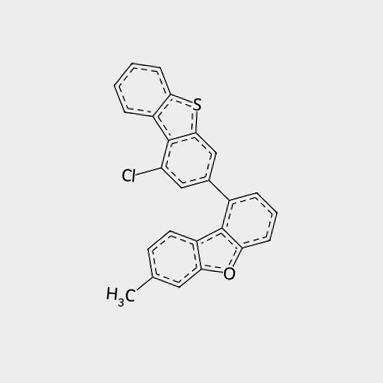 Cc1ccc2c(c1)oc1cccc(-c3cc(Cl)c4c(c3)sc3ccccc34)c12